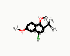 COc1ccc2c(OC)c(C(C)C)cc(Br)c2c1